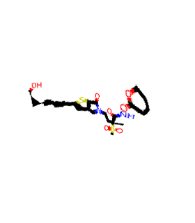 C[C@@](CCN1Cc2cc(C#CC#C[C@H]3C[C@@H]3CO)sc2C1=O)(C(=O)NOC1CCCCO1)S(C)(=O)=O